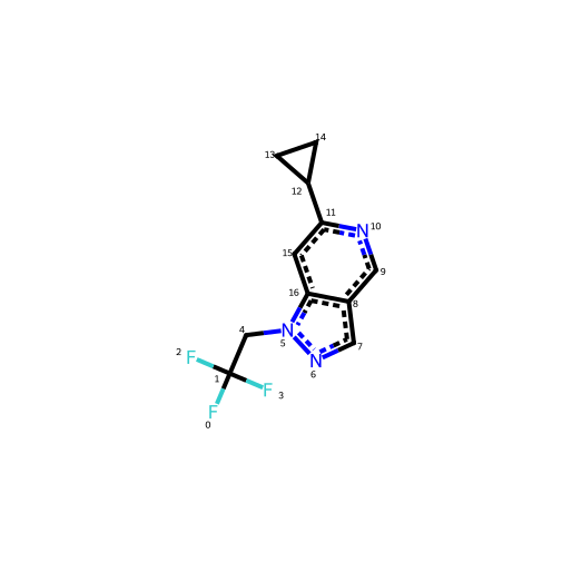 FC(F)(F)Cn1ncc2cnc(C3CC3)cc21